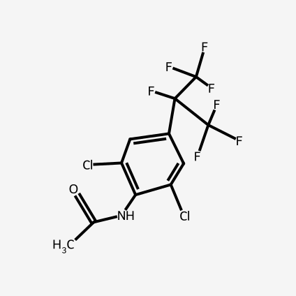 CC(=O)Nc1c(Cl)cc(C(F)(C(F)(F)F)C(F)(F)F)cc1Cl